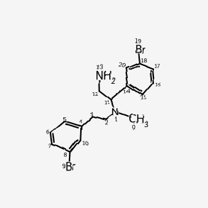 CN(CCc1cccc(Br)c1)C(CN)c1cccc(Br)c1